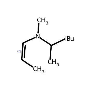 C/C=C\N(C)C(C)C(C)CC